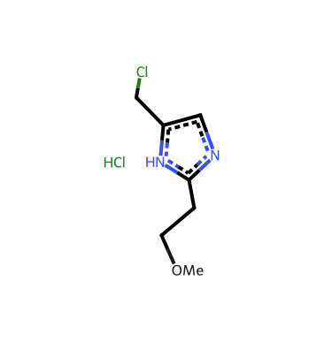 COCCc1ncc(CCl)[nH]1.Cl